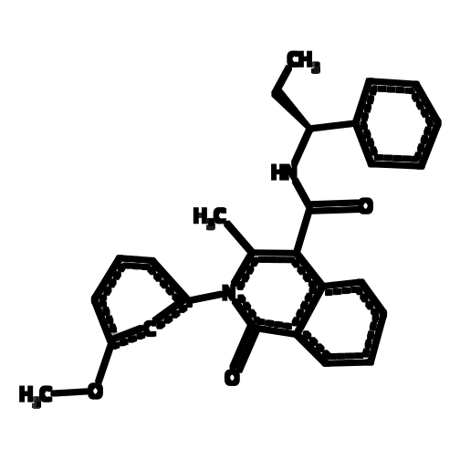 CC[C@H](NC(=O)c1c(C)n(-c2cccc(OC)c2)c(=O)c2ccccc12)c1ccccc1